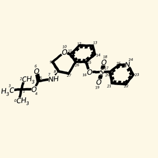 CC(C)(C)OC(=O)N[C@@H]1COc2cccc(OS(=O)(=O)c3cccnc3)c2C1